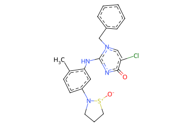 Cc1ccc(N2CCC[S+]2[O-])cc1Nc1nc(=O)c(Cl)cn1Cc1ccccc1